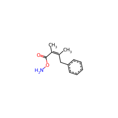 C/C(Cc1ccccc1)=C(\C)C(=O)ON